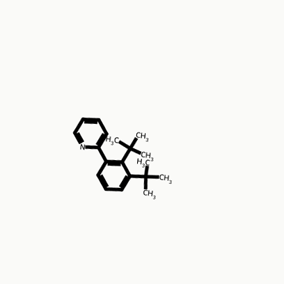 CC(C)(C)c1cccc(-c2ccccn2)c1C(C)(C)C